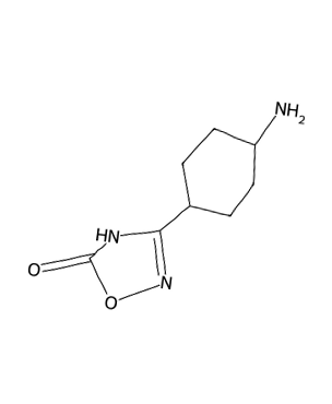 NC1CCC(c2noc(=O)[nH]2)CC1